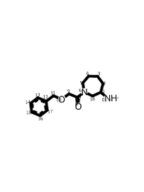 [NH]C1CCCCN(C(=O)COCc2ccccc2)C1